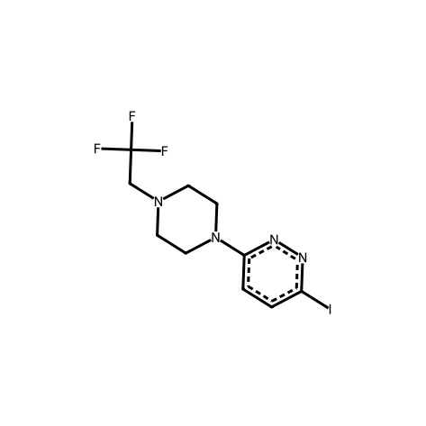 FC(F)(F)CN1CCN(c2ccc(I)nn2)CC1